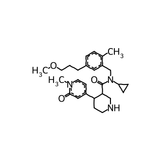 COCCCc1ccc(C)c(CN(C(=O)C2CNCCC2c2ccn(C)c(=O)c2)C2CC2)c1